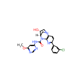 COc1cc(NC(=O)N2c3nc(-c4cccc(Cl)c4)ccc3N3C[C@@H](O)[C@H]2C3)ncn1